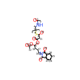 CC(=O)NCC(C)(C)SC(=O)CC(=O)OC(CCCN1C(=O)c2ccccc2C1=O)OC(C)=O